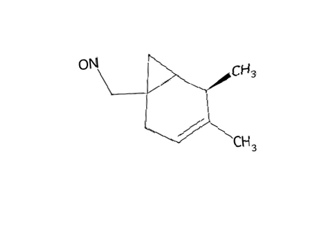 CC1=CCC2(CN=O)CC2[C@H]1C